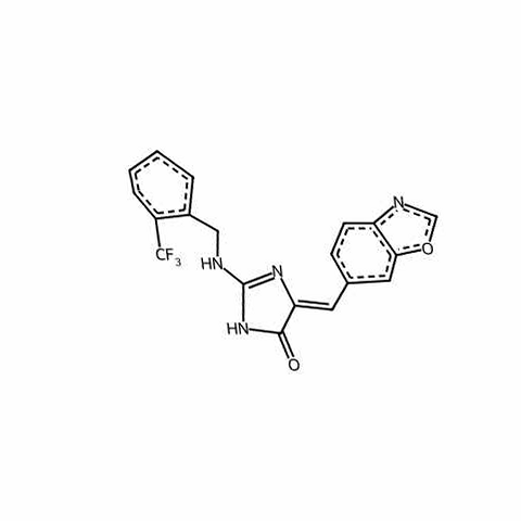 O=C1NC(NCc2ccccc2C(F)(F)F)=N/C1=C\c1ccc2ncoc2c1